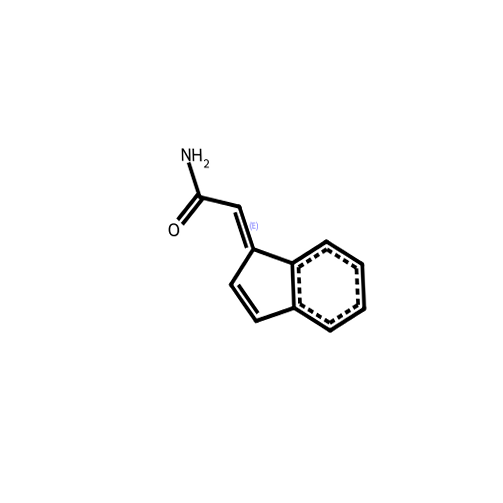 NC(=O)/C=C1\C=Cc2ccccc21